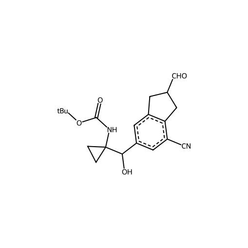 CC(C)(C)OC(=O)NC1(C(O)c2cc(C#N)c3c(c2)CC(C=O)C3)CC1